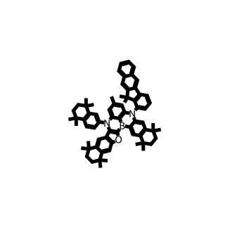 Cc1cc2c3c(c1)N(c1ccc4c(c1)C(C)(C)CCC4(C)C)c1c(oc4cc5c(cc14)C(C)(C)CCC5(C)C)B3c1cc3c(cc1N2c1cccc2c1C(C)(C)c1cc4ccccc4cc1-2)C(C)(C)CCC3(C)C